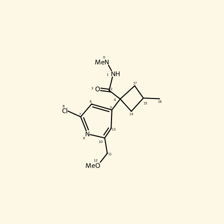 CNNC(=O)C1(c2cc(Cl)nc(COC)c2)CC(C)C1